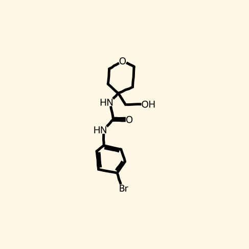 O=C(Nc1ccc(Br)cc1)NC1(CO)CCOCC1